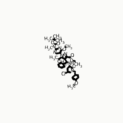 CCOC(=O)c1nn(-c2cnc(N(C)C(=O)OC(C)(C)C)nc2OC)c(C(C)C)c1C(Nc1cc(Cl)cn(Cc2ccc(OC)cc2)c1=O)c1ccccc1